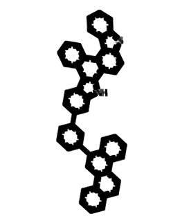 c1cc(-c2ccc3c(c2)[nH]c2c4ccc5sc6ccccc6c5c4c4ccccc4c32)cc(-c2cc3c4ccccc4ccc3c3ccccc23)c1